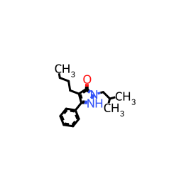 CCCCc1c(-c2ccccc2)[nH]n(CC(C)C)c1=O